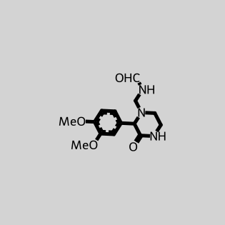 COc1ccc(C2C(=O)NCCN2CNC=O)cc1OC